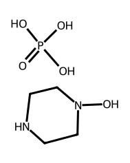 O=P(O)(O)O.ON1CCNCC1